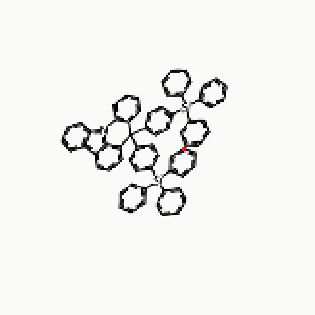 c1ccc([Si](c2ccccc2)(c2ccccc2)c2ccc(C3(c4ccc([Si](c5ccccc5)(c5ccccc5)c5ccccc5)cc4)c4ccccc4-n4c5ccccc5c5cccc3c54)cc2)cc1